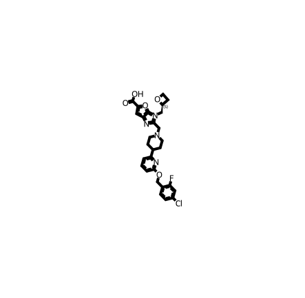 O=C(O)c1cc2nc(CN3CCC(c4cccc(OCc5ccc(Cl)cc5F)n4)CC3)n(C[C@@H]3CCO3)c2o1